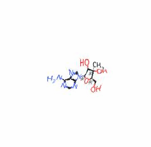 C[C@@]1(O)C(O)[C@H](n2cnc3c(N)ncnc32)O[C@@H]1CO